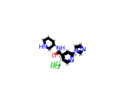 Cl.Cl.O=C(N[C@H]1CCCNC1)c1ccnc(-n2ccnc2)c1